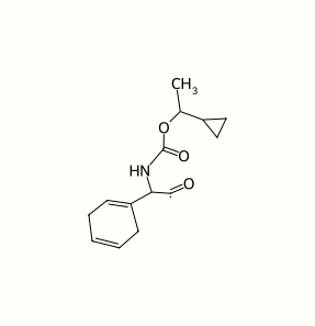 CC(OC(=O)NC([C]=O)C1=CCC=CC1)C1CC1